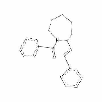 O=C(c1ccccc1)N1CCCCCC1C=Cc1ccccc1